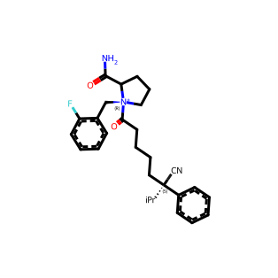 CC(C)[C@@](C#N)(CCCCC(=O)[N@@+]1(Cc2ccccc2F)CCCC1C(N)=O)c1ccccc1